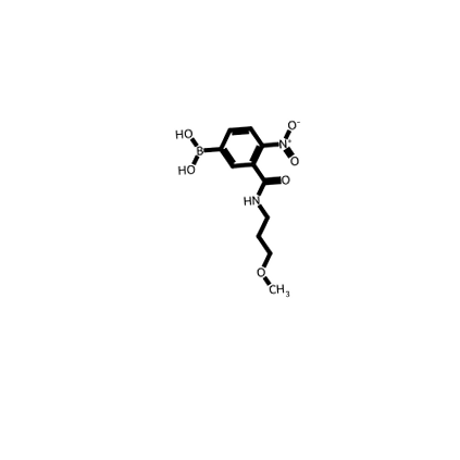 COCCCNC(=O)c1cc(B(O)O)ccc1[N+](=O)[O-]